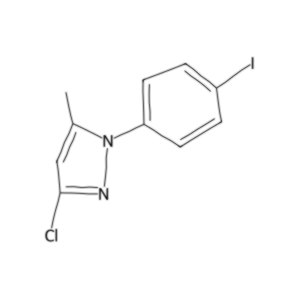 Cc1cc(Cl)nn1-c1ccc(I)cc1